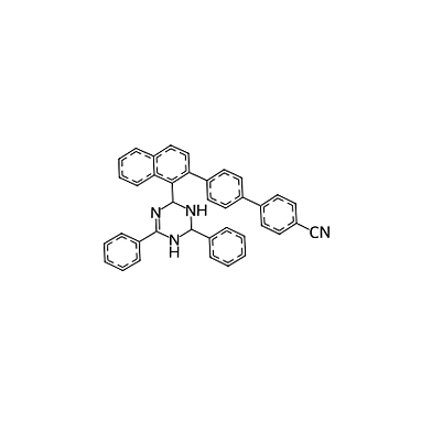 N#Cc1ccc(-c2ccc(-c3ccc4ccccc4c3C3N=C(c4ccccc4)NC(c4ccccc4)N3)cc2)cc1